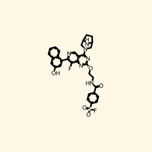 O=C(NCCOc1nc(N2CC3CCC(C2)N3)c2cnc(-c3cc(O)cc4ccccc34)c(F)c2n1)c1ccc(S(=O)(=O)F)cc1